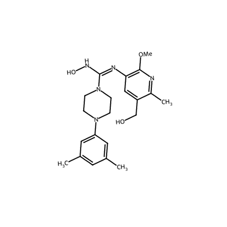 COc1nc(C)c(CO)cc1N=C(NO)N1CCN(c2cc(C)cc(C)c2)CC1